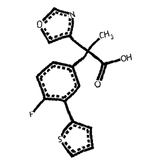 CC(C(=O)O)(c1ccc(F)c(-c2cccs2)c1)c1cocn1